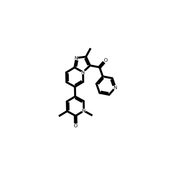 Cc1nc2ccc(-c3cc(C)c(=O)n(C)c3)cn2c1C(=O)c1cccnc1